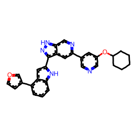 c1cc(-c2ccoc2)c2cc(-c3n[nH]c4cnc(-c5cncc(OC6CCCCC6)c5)cc34)[nH]c2c1